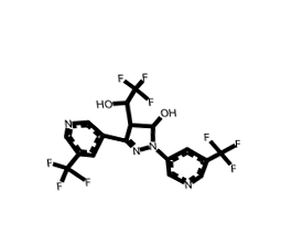 OC1C(C(O)C(F)(F)F)C(c2cncc(C(F)(F)F)c2)=NN1c1cncc(C(F)(F)F)c1